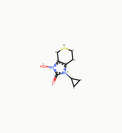 O=c1n(O)c2c(n1C1CC1)CCSC2